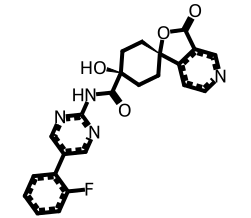 O=C1O[C@]2(CC[C@@](O)(C(=O)Nc3ncc(-c4ccccc4F)cn3)CC2)c2ccncc21